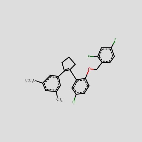 CCOC(=O)c1cc(C)cc(C2=C(c3cc(Cl)ccc3OCc3ccc(F)cc3F)CCC2)c1